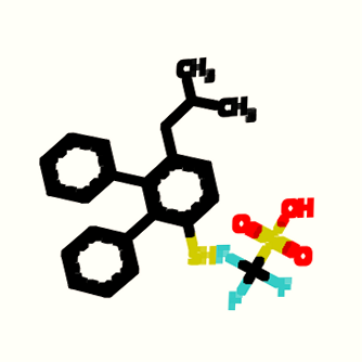 CC(C)Cc1ccc(S)c(-c2ccccc2)c1-c1ccccc1.O=S(=O)(O)C(F)(F)F